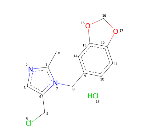 Cc1ncc(CCl)n1Cc1ccc2c(c1)OCO2.Cl